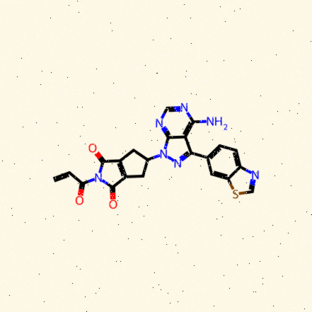 C=CC(=O)N1C(=O)C2=C(CC(n3nc(-c4ccc5ncsc5c4)c4c(N)ncnc43)C2)C1=O